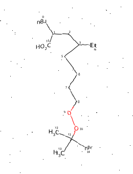 CCCCC(CC(CC)CCCCOOC(C)(C)CCC)C(=O)O